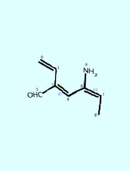 C=C/C(C=O)=C\C(N)=C/C